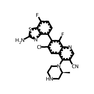 C[C@H]1CNCCN1c1c(C#N)cnc2c(F)c(-c3ccc(F)c4sc(N)nc34)c(Cl)cc12